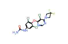 NC(=O)Nc1cc(Cl)c(Oc2ncnc(N3CC(F)(F)C3)c2Cl)c(Cl)c1